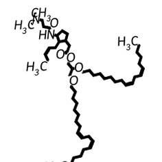 CC/C=C\CC1C(CC(=O)OCC(COCCCCCCCC/C=C\C/C=C\CCCCC)OCCCCCCCC/C=C\C/C=C\CCCCC)CCC1NC(=O)CCN(C)C